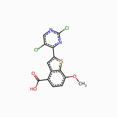 COc1ccc(C(=O)O)c2cc(-c3nc(Cl)ncc3Cl)sc12